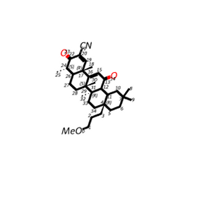 COCCC[C@]12CCC(C)(C)CC1C1C(=O)C=C3[C@@]4(C)C=C(C#N)C(=O)[C@@H](C)C4CC[C@@]3(C)[C@]1(C)CC2